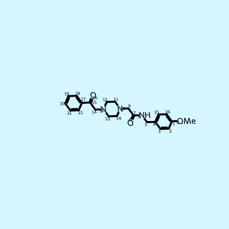 COc1ccc(CNC(=O)CN2CCN(CC(=O)c3ccccc3)CC2)cc1